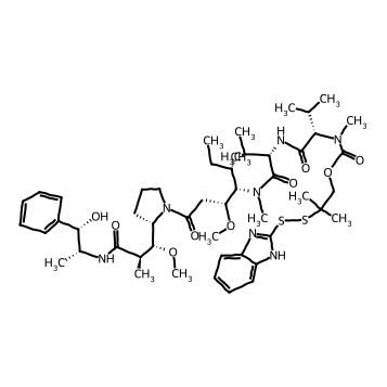 CC[C@H](C)[C@@H]([C@@H](CC(=O)N1CCC[C@H]1[C@H](OC)[C@@H](C)C(=O)N[C@H](C)[C@@H](O)c1ccccc1)OC)N(C)C(=O)[C@@H](NC(=O)[C@H](C(C)C)N(C)C(=O)OCC(C)(C)SSc1nc2ccccc2[nH]1)C(C)C